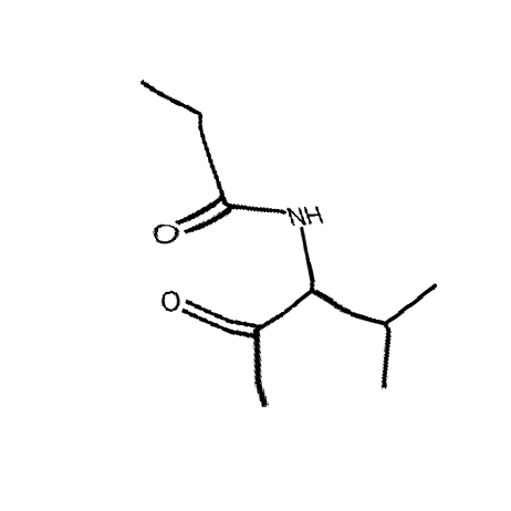 CCC(=O)NC(C(C)=O)C(C)C